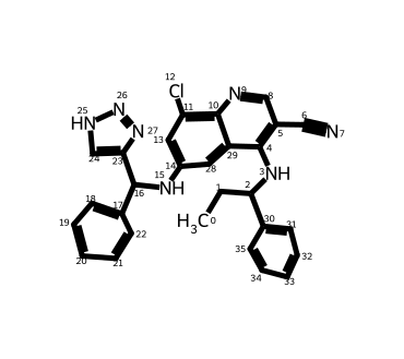 CCC(Nc1c(C#N)cnc2c(Cl)cc(NC(c3ccccc3)c3c[nH]nn3)cc12)c1ccccc1